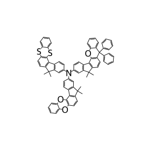 CC1(C)c2cc(N(c3ccc4c(c3)C(C)(C)c3ccc5c(c3-4)Oc3ccccc3C5(c3ccccc3)c3ccccc3)c3ccc4c(c3)C(C)(C)c3ccc5c(c3-4)Sc3ccccc3S5)ccc2-c2c1ccc1c2Oc2ccccc2O1